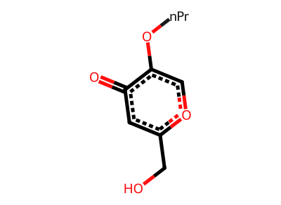 CCCOc1coc(CO)cc1=O